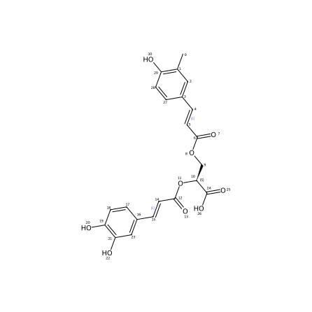 Cc1cc(/C=C/C(=O)OC[C@H](OC(=O)/C=C/c2ccc(O)c(O)c2)C(=O)O)ccc1O